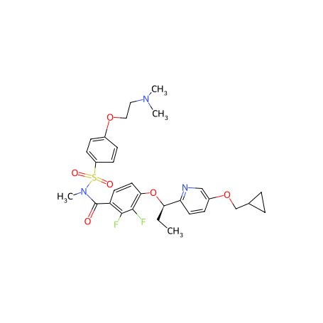 CC[C@@H](Oc1ccc(C(=O)N(C)S(=O)(=O)c2ccc(OCCN(C)C)cc2)c(F)c1F)c1ccc(OCC2CC2)cn1